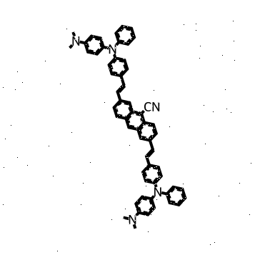 CN(C)c1ccc(N(c2ccccc2)c2ccc(C=Cc3ccc4c(C#N)c5cc(C=Cc6ccc(N(c7ccccc7)c7ccc(N(C)C)cc7)cc6)ccc5cc4c3)cc2)cc1